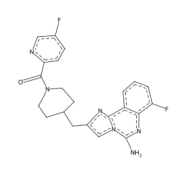 Nc1nc2c(F)cccc2c2nc(CC3CCN(C(=O)c4ccc(F)cn4)CC3)cn12